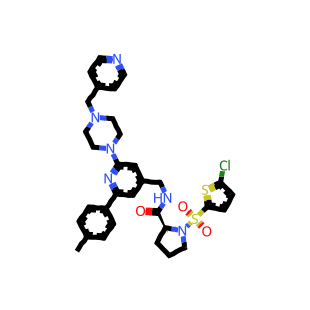 Cc1ccc(-c2cc(CNC(=O)[C@@H]3CCCN3S(=O)(=O)c3ccc(Cl)s3)cc(N3CCN(Cc4ccncc4)CC3)n2)cc1